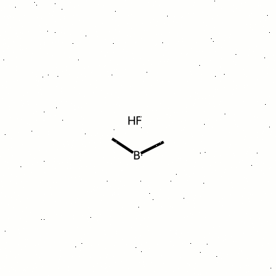 C[B]C.F